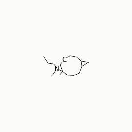 CCCN(C)C1(C)CCCCC2CC2CCC1